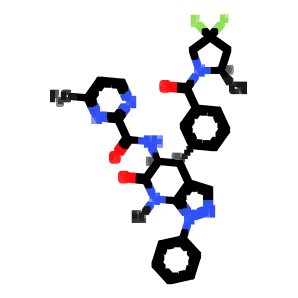 CCN1C(=O)[C@@H](NC(=O)c2nccc(C(F)(F)F)n2)[C@H](c2cccc(C(=O)N3CC(F)(F)C[C@H]3C#N)c2)c2cnn(-c3ccccc3)c21